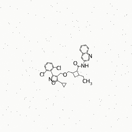 CCC1CC(COCc2c(-c3c(Cl)cccc3Cl)noc2C2CC2)C1C(=O)Nc1cnc2ccccc2c1